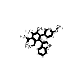 CCc1c(C(N)=O)c(C)c(C)c(-c2ccc(OC)nc2)c1-c1c[nH]c2ccccc12